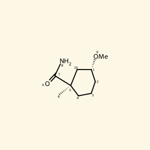 CO[C@@H]1CCC[C@@](C)(C(N)=O)C1